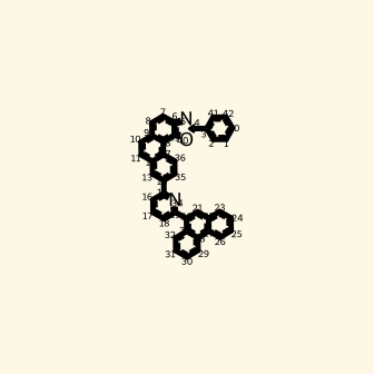 c1ccc(-c2nc3ccc4ccc5cc(-c6cccc(-c7cc8ccccc8c8ccccc78)n6)ccc5c4c3o2)cc1